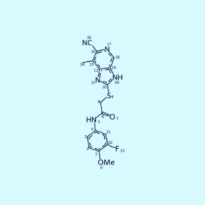 COc1ccc(NC(=O)CSc2nc3c(C)c(C#N)ncc3[nH]2)cc1F